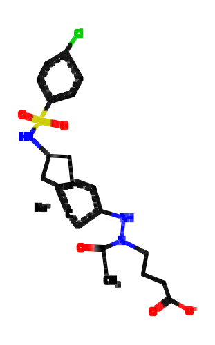 CC(=O)N(CCCC(=O)[O-])Nc1ccc2c(c1)CC(NS(=O)(=O)c1ccc(Cl)cc1)C2.[Na+]